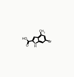 Cc1cc(Br)cc2[nH]c(C(=O)O)cc12